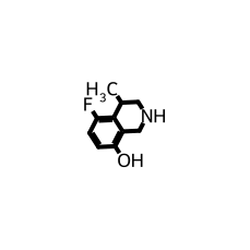 CC1CNCc2c(O)ccc(F)c21